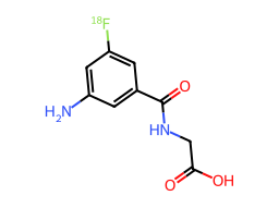 Nc1cc([18F])cc(C(=O)NCC(=O)O)c1